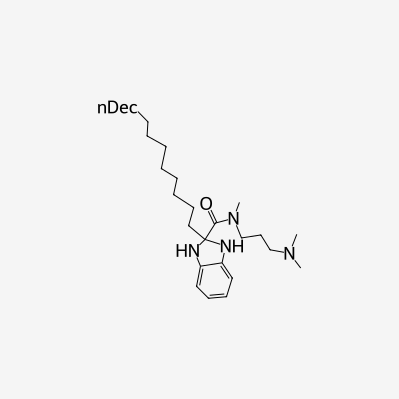 CCCCCCCCCCCCCCCCCCC1(C(=O)N(C)CCCN(C)C)Nc2ccccc2N1